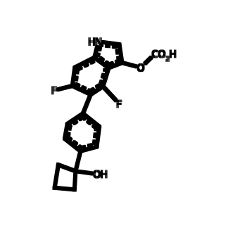 O=C(O)Oc1c[nH]c2cc(F)c(-c3ccc(C4(O)CCC4)cc3)c(F)c12